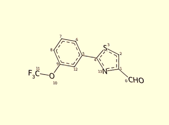 O=Cc1csc(-c2cccc(OC(F)(F)F)c2)n1